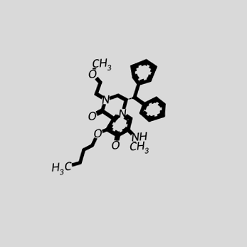 CCCCOc1c2n(cc(NC)c1=O)[C@@H](C(c1ccccc1)c1ccccc1)CN(CCOC)C2=O